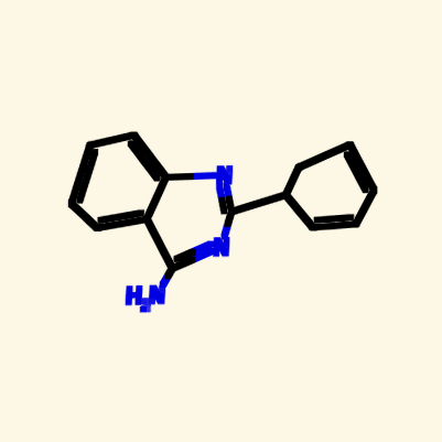 Nc1nc(C2C=CC=CC2)nc2ccccc12